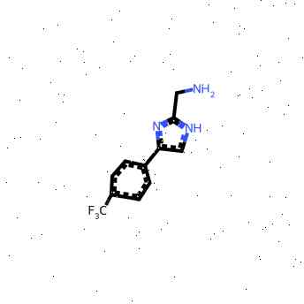 NCc1nc(-c2ccc(C(F)(F)F)cc2)c[nH]1